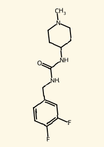 CN1CCC(NC(=O)NCc2ccc(F)c(F)c2)CC1